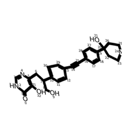 O=c1[nH]cnc(CC(CO)c2ccc(C#Cc3ccc(C4(O)CCNCC4)cc3)cc2)c1O